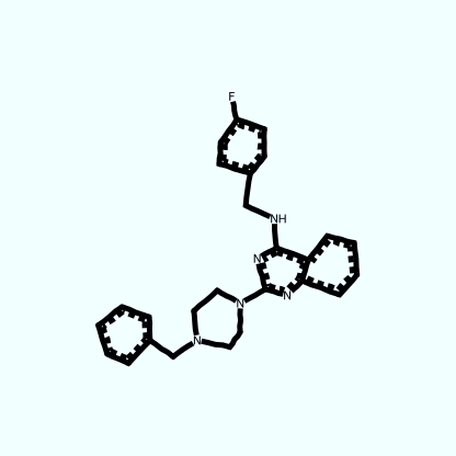 Fc1ccc(CNc2nc(N3CCN(Cc4ccccc4)CC3)nc3ccccc23)cc1